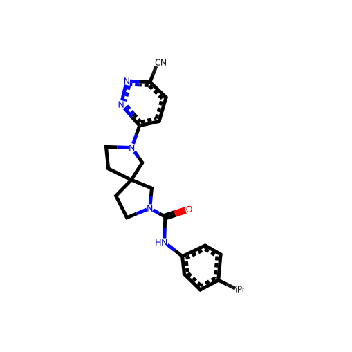 CC(C)c1ccc(NC(=O)N2CCC3(CCN(c4ccc(C#N)nn4)C3)C2)cc1